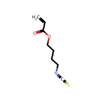 C=CC(=O)OCCCCN=C=S